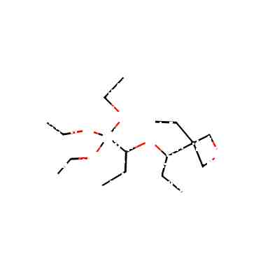 CCO[Si](OCC)(OCC)C(CC)OC(CC)C1(CC)COC1